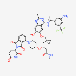 CNC(=O)CC(CC1(COc2cc3c(N[C@H](C)c4cc(N)cc(C(F)(F)F)c4)nc(C)nc3cc2OC)CC1)OC1CCN(c2cccc3c2C(=O)N(C2CCC(=O)NC2=O)C3=O)CC1